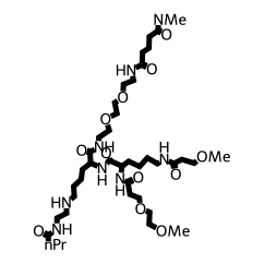 CCCC(=O)NCCNCCCCC(NC(=O)C(CCCCNC(=O)CCOC)NC(=O)CCOCCOC)C(=O)NCCOCCOCCNC(=O)CCCC(=O)NC